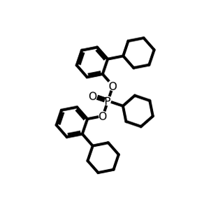 O=P(Oc1ccccc1C1CCCCC1)(Oc1ccccc1C1CCCCC1)C1CCCCC1